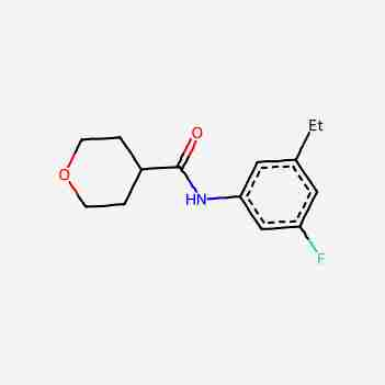 CCc1cc(F)cc(NC(=O)C2CCOCC2)c1